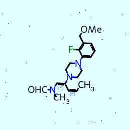 C/C=C\C(=C/N(C)C=O)N1CCN(c2cccc(COC)c2F)CC1